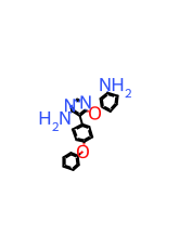 Nc1cccc(Oc2ncnc(N)c2-c2ccc(Oc3ccccc3)cc2)c1